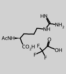 CC(=O)N[C@@H](CCCNC(=N)N)C(=O)O.O=C(O)C(F)(F)F